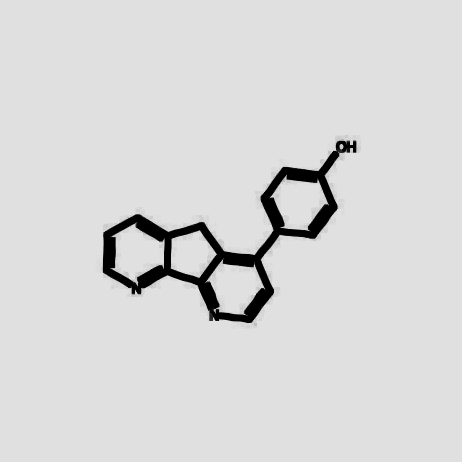 Oc1ccc(-c2ccnc3c2Cc2cccnc2-3)cc1